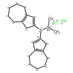 C[SiH](C)[Zr]([C]1=CC2=C(CCCCC2)C1)[C]1=CC2=C(CCCCC2)C1.Cl.Cl